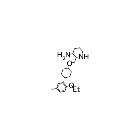 CCOc1ccc(C)cc1[C@H]1CC[C@@H](OCC2NCCCC2N)CC1